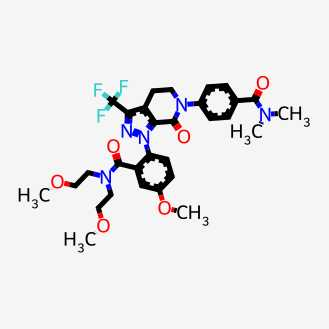 COCCN(CCOC)C(=O)c1cc(OC)ccc1-n1nc(C(F)(F)F)c2c1C(=O)N(c1ccc(C(=O)N(C)C)cc1)CC2